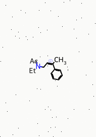 CCN(C/C=C(/C)c1ccccc1)C(C)=O